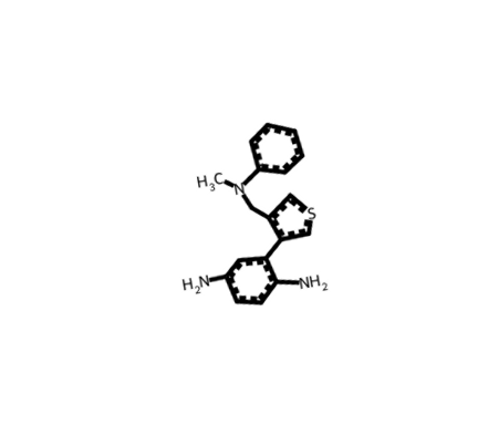 CN(Cc1cscc1-c1cc(N)ccc1N)c1ccccc1